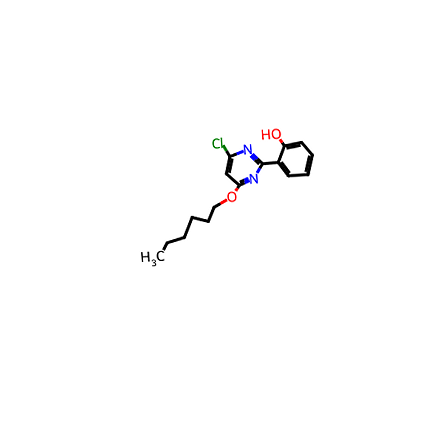 CCCCCCOc1cc(Cl)nc(-c2ccccc2O)n1